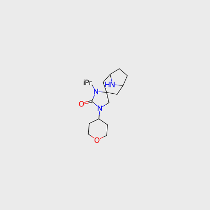 CC(C)N1C(=O)N(C2CCOCC2)CC12CC1CCC(C2)N1